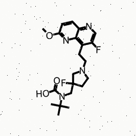 COc1ccc2ncc(F)c(CCN3CCC(F)(CN(C(=O)O)C(C)(C)C)C3)c2n1